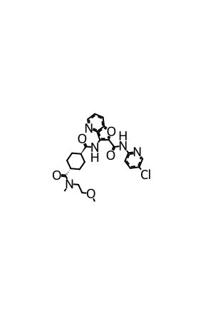 COCCN(C)C(=O)[C@H]1CC[C@H](C(=O)Nc2c(C(=O)Nc3ccc(Cl)cn3)oc3cccnc23)CC1